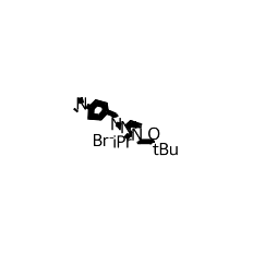 CC(C)c1n(CC(=O)C(C)(C)C)cc[n+]1N=Cc1ccc(N(C)C)cc1.[Br-]